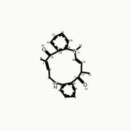 C/C1=C\CNc2ccccc2C(=O)C(C)/C=C/N(C)c2ccccc2C1=O